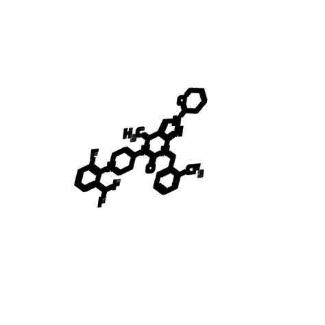 CC1c2cn(C3CCCCO3)nc2N(Cc2ccccc2C(F)(F)F)C(=O)N1C1CCN(c2c(F)cccc2C(F)F)CC1